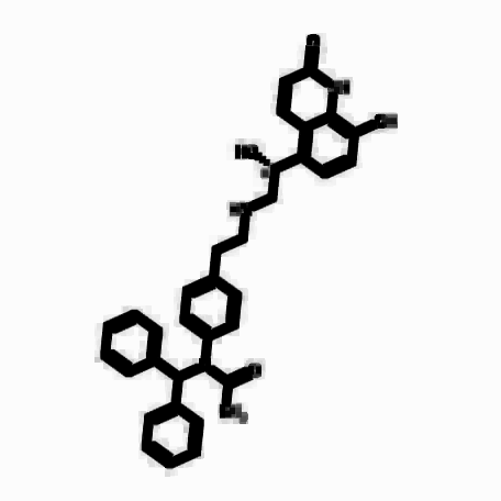 NC(=O)N(c1ccc(CCNC[C@H](O)c2ccc(O)c3[nH]c(=O)ccc23)cc1)C(c1ccccc1)c1ccccc1